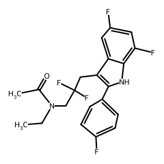 CCN(CC(F)(F)Cc1c(-c2ccc(F)cc2)[nH]c2c(F)cc(F)cc12)C(C)=O